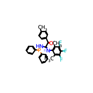 Cc1ccc(C(=O)/C(=N\c2c(C)c(F)c(F)c(F)c2C)NP(c2ccccc2)c2ccccc2)cc1